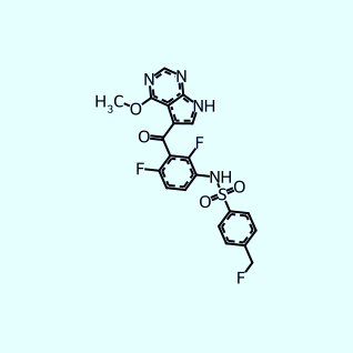 COc1ncnc2[nH]cc(C(=O)c3c(F)ccc(NS(=O)(=O)c4ccc(CF)cc4)c3F)c12